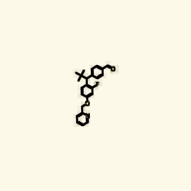 CC(C)(C)C(c1ccc(C=O)cc1)c1ccc(OCc2ccccn2)cc1F